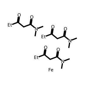 CCC(=O)CC(=O)N(C)C.CCC(=O)CC(=O)N(C)C.CCC(=O)CC(=O)N(C)C.[Fe]